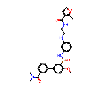 COc1ccc(-c2cccc(C(=O)N(C)C)c2)cc1[S+]([O-])Nc1cccc(NCCNC(=O)c2ccoc2C)c1